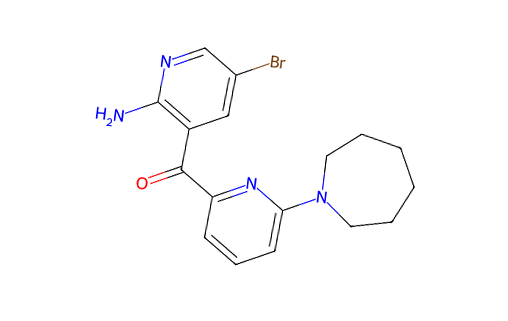 Nc1ncc(Br)cc1C(=O)c1cccc(N2CCCCCC2)n1